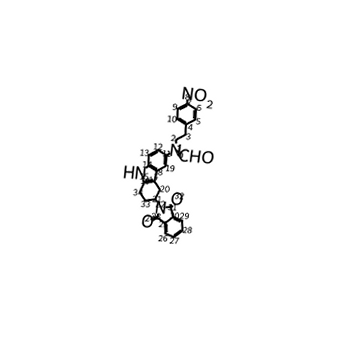 O=CN(CCc1ccc([N+](=O)[O-])cc1)c1ccc2[nH]c3c(c2c1)CC(N1C(=O)c2ccccc2C1=O)CC3